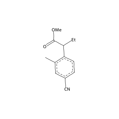 CCC(C(=O)OC)c1ccc(C#N)cc1C